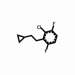 Fc1ccc(F)c(CC[C]2CC2)c1Cl